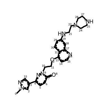 Cn1cc(-c2ccc(=O)n(CCOc3ccnc4cc(NCCN5CCNCC5)ccc34)n2)cn1